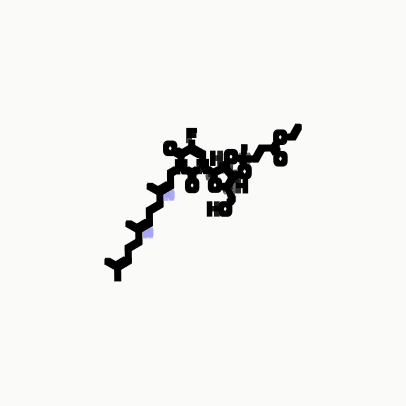 CCOC(=O)CC[C@@]1(C)O[C@@H]2[C@@H](O1)[C@@H](CO)O[C@H]2n1cc(F)c(=O)n(C/C=C(\C)CC/C=C(\C)CCC=C(C)C)c1=O